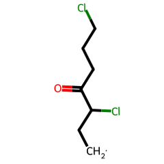 [CH2]CC(Cl)C(=O)CCCCl